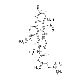 CN(C)CCN(C)CC(=O)N(C)c1ccc(N/C(=C2\C(=O)Nc3cc(F)ccc32)c2cccc(CC(=O)O)c2)cc1